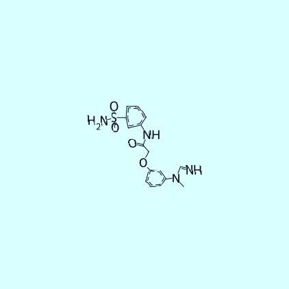 CN(C=N)c1cccc(OCC(=O)Nc2cccc(S(N)(=O)=O)c2)c1